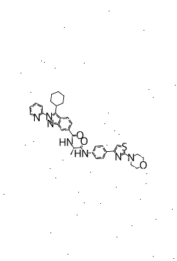 C[C@@H](NC(=O)c1ccc2c(C3CCCCC3)n(-c3ccccn3)nc2c1)C(=O)Nc1ccc(-c2csc(N3CCOCC3)n2)cc1